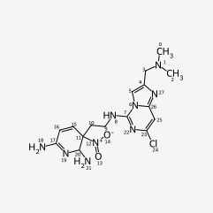 CN(C)Cc1cn2c(NCCC3([N+](=O)[O-])C=CC(N)=NC3N)nc(Cl)cc2n1